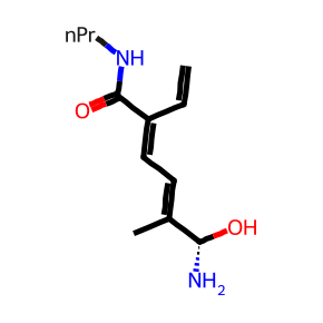 C=C/C(=C\C=C(/C)[C@@H](N)O)C(=O)NCCC